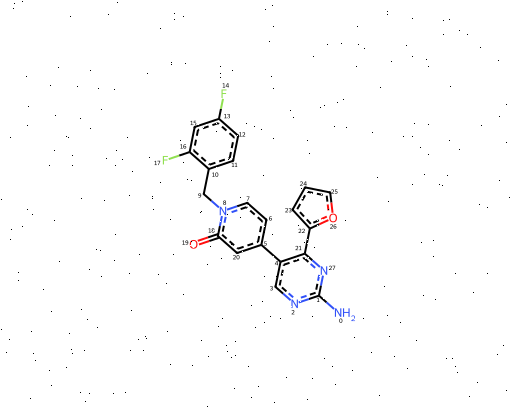 Nc1ncc(-c2ccn(Cc3ccc(F)cc3F)c(=O)c2)c(-c2ccco2)n1